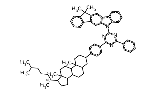 CC(C)CCC[C@@H](C)C1CCC2C3CCC4CC(c5ccc(-c6nc(-c7ccccc7)nc(-n7c8ccccc8c8cc9c(cc87)-c7ccccc7C9(C)C)n6)cc5)CCC4(C)C3CCC21C